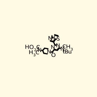 CN(C(=O)O)C1CCN(C(=O)c2cc(N(C)C(C)(C)C)nc(-c3cnn4ccsc34)n2)CC1